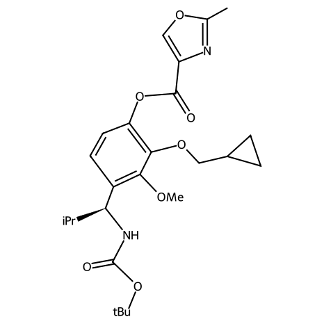 COc1c([C@@H](NC(=O)OC(C)(C)C)C(C)C)ccc(OC(=O)c2coc(C)n2)c1OCC1CC1